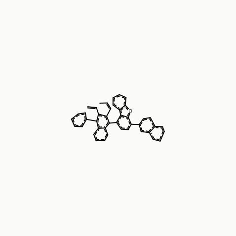 C=Cc1c(/C=C\C)c(-c2ccc(-c3ccc4ccccc4c3)c3oc4ccccc4c23)c2ccccc2c1-c1ccccc1